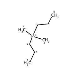 CCC[P](C)(C)CCC